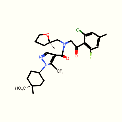 Cc1cc(F)c(C(=O)CN(C[C@@]2(C)CCCO2)C(=O)c2cnn([C@H]3CC[C@](C)(C(=O)O)CC3)c2C(F)(F)F)c(Cl)c1